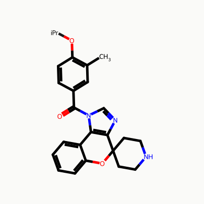 Cc1cc(C(=O)n2cnc3c2-c2ccccc2OC32CCNCC2)ccc1OC(C)C